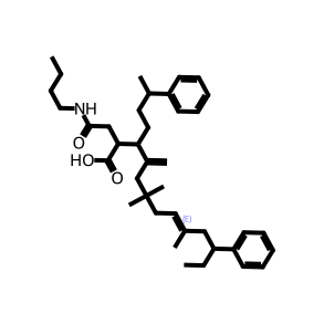 C=C(CC(C)(C)C/C=C(\C)CC(CC)c1ccccc1)C(CCC(C)c1ccccc1)C(CC(=O)NCCCC)C(=O)O